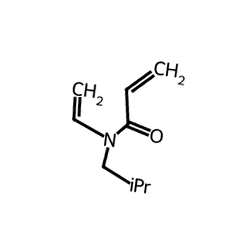 C=CC(=O)N(C=C)CC(C)C